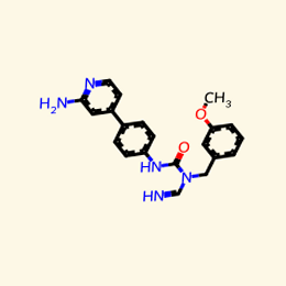 COc1cccc(CN(C=N)C(=O)Nc2ccc(-c3ccnc(N)c3)cc2)c1